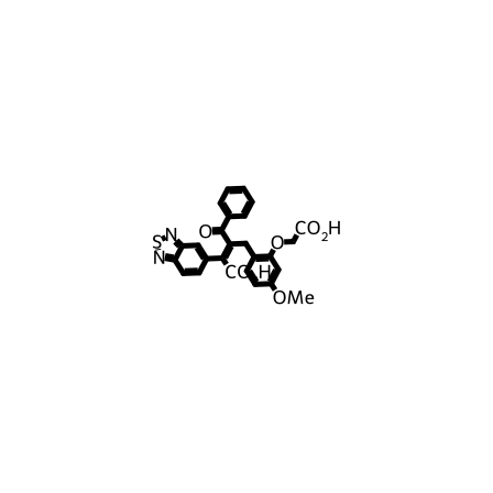 COc1ccc(CC(C(=O)c2ccccc2)=C(C(=O)O)c2ccc3nsnc3c2)c(OCC(=O)O)c1